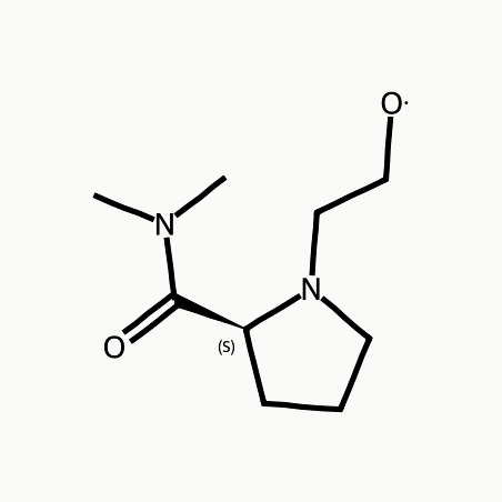 CN(C)C(=O)[C@@H]1CCCN1CC[O]